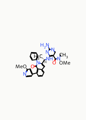 COc1cc(-c2cccc3cc([C@H](C)Nc4nc(N)ncc4C(=O)N(C)OC)n(-c4ccccc4)c(=O)c23)ccn1